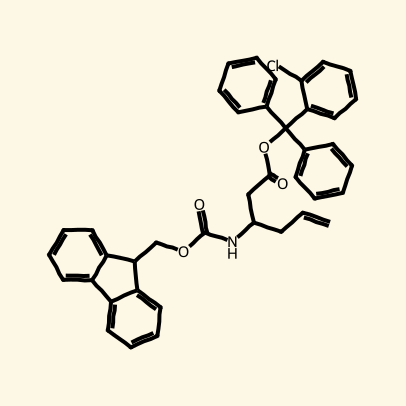 C=CCC(CC(=O)OC(c1ccccc1)(c1ccccc1)c1ccccc1Cl)NC(=O)OCC1c2ccccc2-c2ccccc21